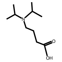 CC(C)N(CCCC(=O)O)C(C)C